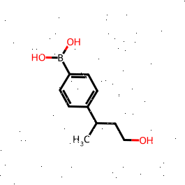 CC(CCO)c1ccc(B(O)O)cc1